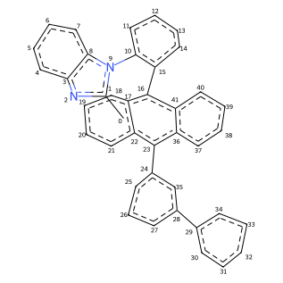 Cc1nc2ccccc2n1-c1ccccc1-c1c2ccccc2c(-c2cccc(-c3ccccc3)c2)c2ccccc12